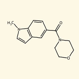 Cn1ccc2cc(C(=O)N3CCOCC3)ccc21